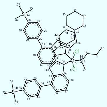 CCC[SiH](C)[Zr]([Cl])([Cl])([CH]1C(CC2CCCCC2)=Cc2c(-c3ccc([Si](C)(C)C)cc3)cccc21)[CH]1C(CC2CCCCC2)=Cc2c(-c3ccc([Si](C)(C)C)cc3)cccc21